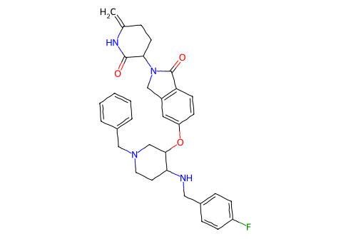 C=C1CCC(N2Cc3cc(OC4CN(Cc5ccccc5)CCC4NCc4ccc(F)cc4)ccc3C2=O)C(=O)N1